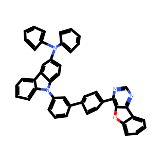 c1ccc(N(c2ccccc2)c2ccc3c(c2)c2ccccc2n3-c2cccc(-c3ccc(-c4ncnc5c4oc4ccccc45)cc3)c2)cc1